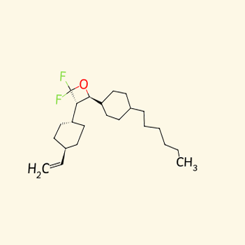 C=C[C@H]1CC[C@H]([C@H]2[C@H](C3CCC(CCCCCC)CC3)OC2(F)F)CC1